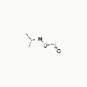 CC(C)[N]O[C]=O